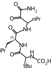 CCCC(NC(=O)[C@H](CC(C)C)NC(=O)C(NC(=O)O)C(C)(C)C)C(=O)C(N)=O